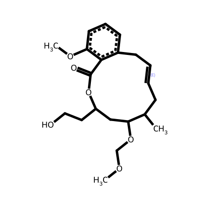 COCOC1CC(CCO)OC(=O)c2c(cccc2OC)C/C=C/CC1C